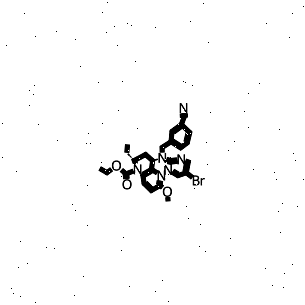 CCOC(=O)N1c2ccc(OC)nc2[C@@H](N(Cc2cccc(C#N)c2)c2ncc(Br)cn2)C[C@H]1CC